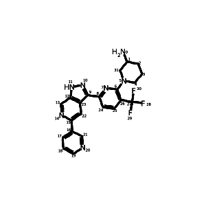 NC1CCCN(c2nc(-c3n[nH]c4cnc(-c5cccnc5)cc34)ccc2C(F)(F)F)C1